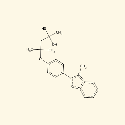 Cn1c(-c2ccc(OC(C)(C)CC(C)(O)S)cc2)cc2ccccc21